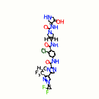 Cn1c(-c2cn([C@H]3CC3(F)F)nc2C(F)(F)F)cnc1C(=O)Nc1ccc(C(=O)NC2[C@H]3CN(C(=O)N[C@H]4CNC[C@@H]4O)C[C@@H]23)c(Cl)c1